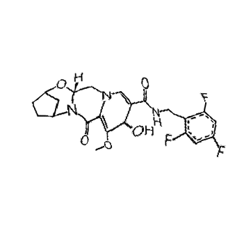 COC1=C2C(=O)N3C4CCC(C4)O[C@@H]3CN2C=C(C(=O)NCc2c(F)cc(F)cc2F)C1O